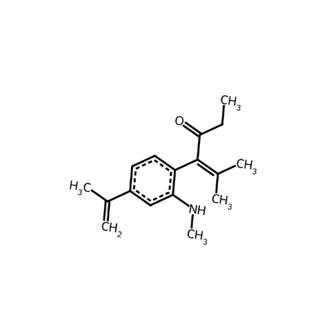 C=C(C)c1ccc(C(C(=O)CC)=C(C)C)c(NC)c1